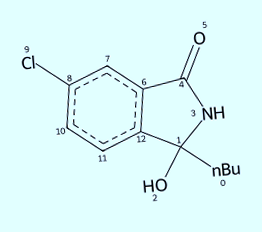 CCCCC1(O)NC(=O)c2cc(Cl)ccc21